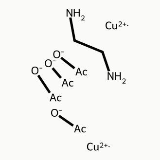 CC(=O)[O-].CC(=O)[O-].CC(=O)[O-].CC(=O)[O-].NCCN.[Cu+2].[Cu+2]